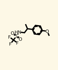 COc1ccc(C(C)CNS(=O)(=O)C(F)(F)F)cc1